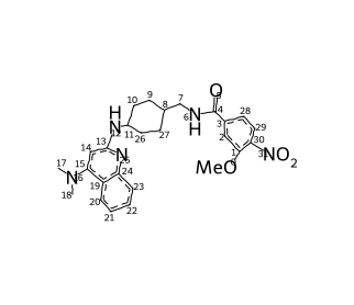 COc1cc(C(=O)NCC2CCC(Nc3cc(N(C)C)c4ccccc4n3)CC2)ccc1[N+](=O)[O-]